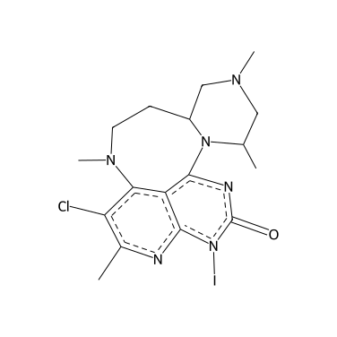 Cc1nc2c3c(nc(=O)n2I)N2C(C)CN(C)CC2CCN(C)c3c1Cl